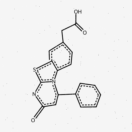 O=C(O)Cc1ccc2c(c1)sc1nc(=O)cc(-c3ccccc3)n12